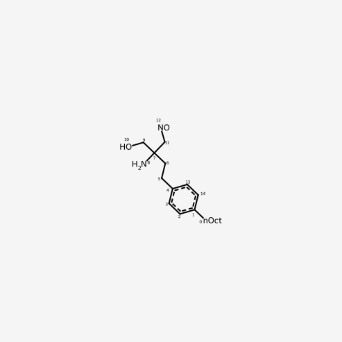 CCCCCCCCc1ccc(CCC(N)(CO)CN=O)cc1